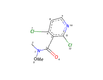 CON(C)C(=O)c1c(Cl)ccnc1Cl